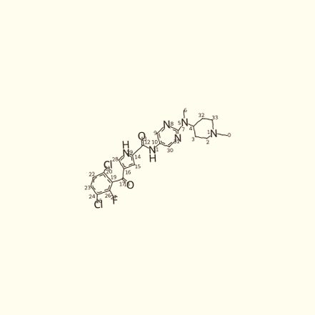 CN1CCC(N(C)c2ncc(NC(=O)c3cc(C(=O)c4c(Cl)ccc(Cl)c4F)c[nH]3)cn2)CC1